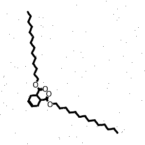 CCCCCCCCCCCCCCOC(=O)C1CC=CCC1C(=O)OCCCCCCCCCCCCCC